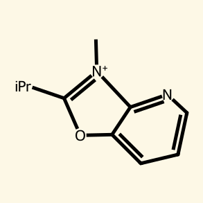 CC(C)c1oc2cccnc2[n+]1C